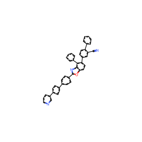 N#Cc1cc(-c2ccc3oc(-c4ccc(-c5ccc(-c6cccnc6)cc5)cc4)nc3c2-c2ccccc2)ccc1-c1ccccc1